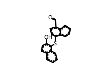 O=Cc1ccc(Sc2c(O)ccc3ccccc23)c2ccccc12